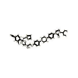 CCC(CC)n1ncn(-c2ccc(N3CCN(c4ccc(OCC(S)[C@H]5CO[C@](Cn6cccn6)(c6ccc(C#N)cc6C)O5)cc4)CC3)cc2)c1=O